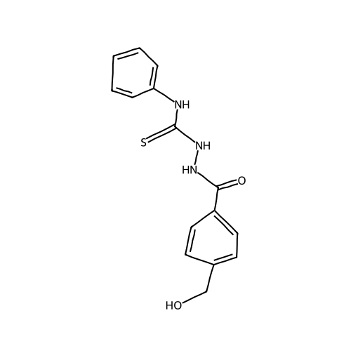 O=C(NNC(=S)Nc1ccccc1)c1ccc(CO)cc1